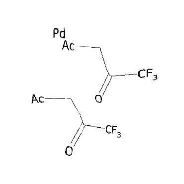 CC(=O)CC(=O)C(F)(F)F.CC(=O)CC(=O)C(F)(F)F.[Pd]